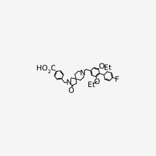 CCOc1cc(CN2CCC3(CC2)CC(=O)N(Cc2ccc(C(=O)O)cc2)C3)cc(OCC)c1C1C=CC(F)=CC1